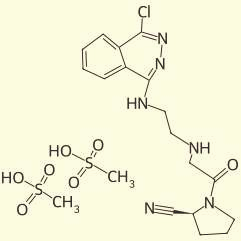 CS(=O)(=O)O.CS(=O)(=O)O.N#C[C@@H]1CCCN1C(=O)CNCCNc1nnc(Cl)c2ccccc12